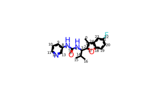 Cc1c(C(NC(=O)Nc2cccnc2)C(C)C)oc2ccc(F)cc12